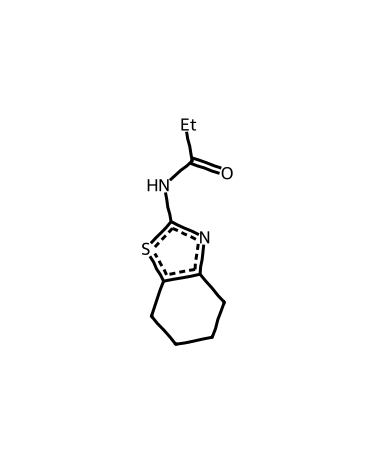 CCC(=O)Nc1nc2c(s1)CCCC2